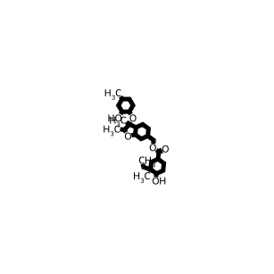 CCC1(C)CC(C(=O)OCC2CCC3C(C2)OC(C)C3(C)OC2CCC(C)CC2O)CCC1O